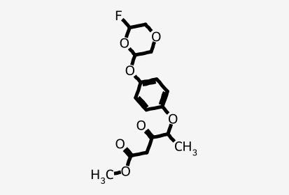 COC(=O)CC(=O)C(C)Oc1ccc(OC2COCC(F)O2)cc1